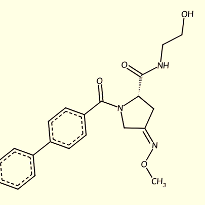 CO/N=C1/C[C@@H](C(=O)NCCO)N(C(=O)c2ccc(-c3ccccc3)cc2)C1